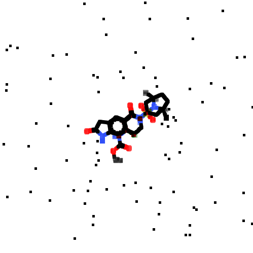 CC(C)(C)OC(=O)NC1CCN(S(=O)(=O)N2[C@@H]3CC[C@H]2CC(NC(=O)c2cc4c(cc2Cl)NC(=O)C4)C3)CC1